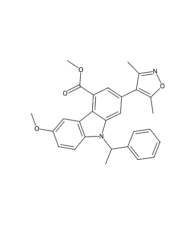 COC(=O)c1cc(-c2c(C)noc2C)cc2c1c1cc(OC)ccc1n2C(C)c1ccccc1